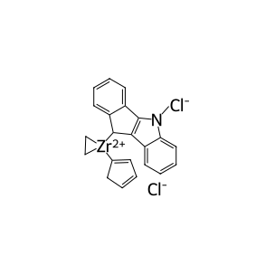 Cn1c2c(c3ccccc31)[CH]([Zr+2]1([C]3=CC=CC3)[CH2][CH2]1)c1ccccc1-2.[Cl-].[Cl-]